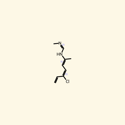 C=C/C(Cl)=C\C=C(/C)N/C=N\C